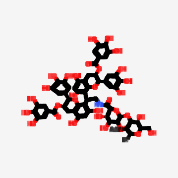 CC(=O)NC1C(O[C@@H]2OC(C(=O)NCC(c3c(O)cc(O)c4c3O[C@H](c3cc(O)c(O)c(O)c3)[C@H](OC(=O)c3cc(O)c(O)c(O)c3)C4)c3c(O)cc(O)c4c3O[C@H](c3cc(O)c(O)c(O)c3)[C@H](OC(=O)c3cc(O)c(O)c(O)c3)C4)[C@@H](O)C(O)C2O)[C@H](O)C(CO)O[C@H]1C(C)C